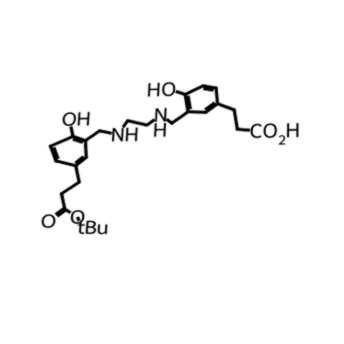 CC(C)(C)OC(=O)CCc1ccc(O)c(CNCCNCc2cc(CCC(=O)O)ccc2O)c1